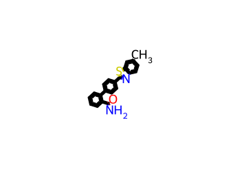 Cc1ccc2nc(-c3ccc(-c4ccccc4C(N)=O)cc3)sc2c1